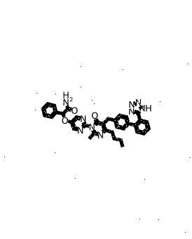 CCCCc1nc(C)n(-c2ncc(OC(C(N)=O)c3ccccc3)cn2)c(=O)c1Cc1ccc(-c2ccccc2-c2nnn[nH]2)cc1